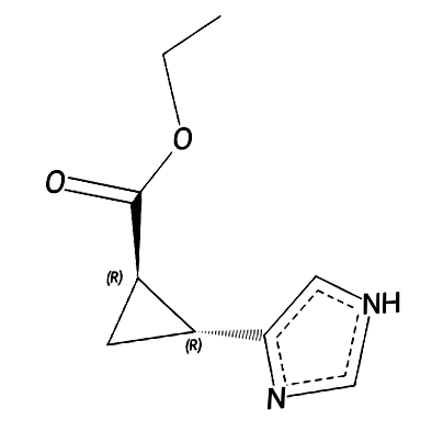 CCOC(=O)[C@@H]1C[C@H]1c1c[nH]cn1